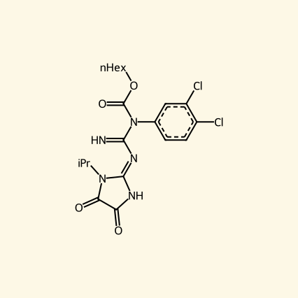 CCCCCCOC(=O)N(C(=N)N=C1NC(=O)C(=O)N1C(C)C)c1ccc(Cl)c(Cl)c1